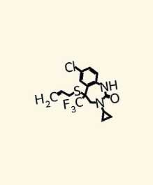 C=CCSC1(C(F)(F)F)CN(C2CC2)C(=O)Nc2ccc(Cl)cc21